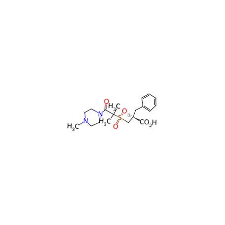 CN1CCN(C(=O)C(C)(C)S(=O)(=O)C[C@@H](Cc2ccccc2)C(=O)O)CC1